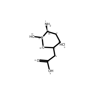 Cl.N[C@H]1CCC(CC(=O)O)OB1O